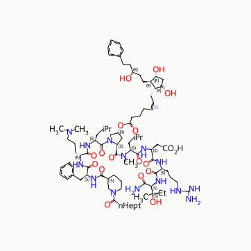 CCCCCCCC(=O)N1CCC[C@H](C(=O)N[C@@H](Cc2ccccc2)C(=O)N[C@H](CCCN(C)C)C(=O)N[C@@H](CC(C)C)C(=O)N2C[C@H](OC(=O)CCC/C=C\C[C@@H]3[C@@H](CC[C@@H](O)CCc4ccccc4)[C@H](O)C[C@@H]3O)C[C@H]2C(=O)N(C)[C@@H](CC(C)C)C(=O)N[C@@H](CC(=O)O)C(=O)N[C@@H](CCCNC(=N)N)C(=O)N[C@H](C(N)=O)[C@@](C)(O)CC)C1